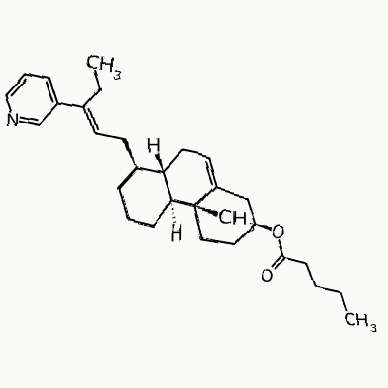 CCCCC(=O)O[C@H]1CC[C@@]2(C)C(=CC[C@H]3[C@H](C/C=C(\CC)c4cccnc4)CCC[C@@H]32)C1